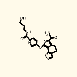 NC(=O)c1sc(Oc2ccc(C(=O)NCCCO)nc2)c2c1CCc1cnsc1-2